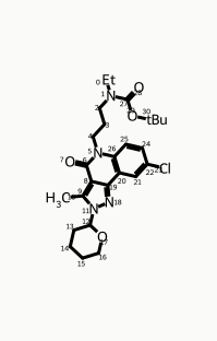 CCN(CCCn1c(=O)c2c(C)n(C3CCCCO3)nc2c2cc(Cl)ccc21)C(=O)OC(C)(C)C